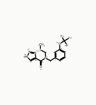 CSCN(Cc1cccc(OC(F)(F)F)c1)C(=O)c1c[nH]nn1